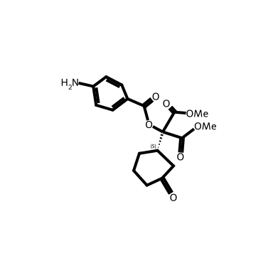 COC(=O)C(OC(=O)c1ccc(N)cc1)(C(=O)OC)[C@H]1CCCC(=O)C1